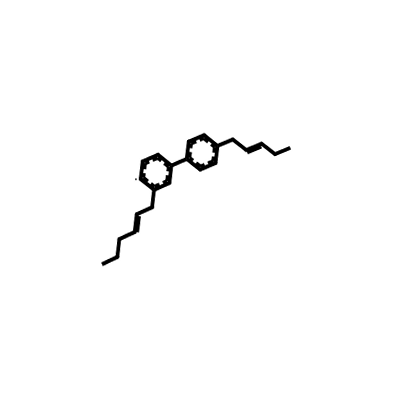 CCC=CCc1ccc(-c2cc[c]c(CC=CCCC)c2)cc1